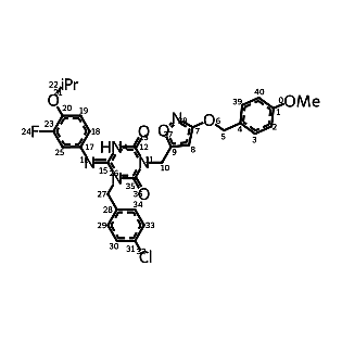 COc1ccc(COc2cc(Cn3c(=O)[nH]/c(=N\c4ccc(OC(C)C)c(F)c4)n(Cc4ccc(Cl)cc4)c3=O)on2)cc1